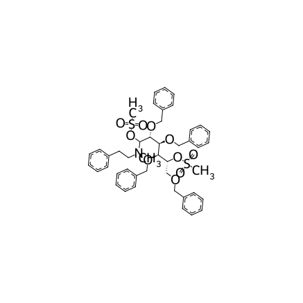 CN(CCc1ccccc1)C(OS(C)(=O)=O)[C@H](OCc1ccccc1)[C@@H](OCc1ccccc1)[C@H](OCc1ccccc1)[C@@H](COCc1ccccc1)OS(C)(=O)=O